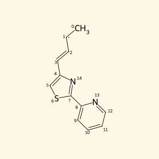 C[CH]C=Cc1csc(-c2ccccn2)n1